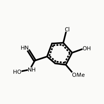 COc1cc(C(=N)NO)cc(Cl)c1O